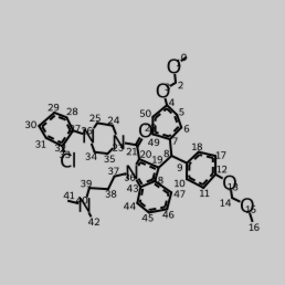 COCOc1ccc(C(c2ccc(OCOC)cc2)c2c(C(=O)N3CCN(c4ccccc4Cl)CC3)n(CCCN(C)C)c3ccccc23)cc1